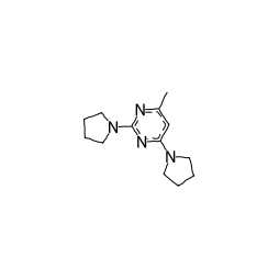 Cc1cc(N2CCCC2)nc(N2CCCC2)n1